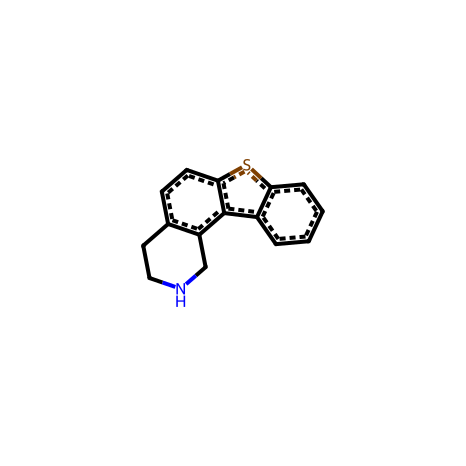 c1ccc2c(c1)sc1ccc3c(c12)CNCC3